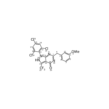 COc1cccc(Cc2nc3n(-c4c(Cl)cc(Cl)cc4Cl)[nH]c(C(F)(F)F)c-3c(=O)n2)c1